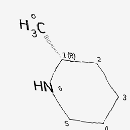 C[C@@H]1CCCCN1